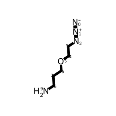 [N-]=[N+]=NCCOCCCN